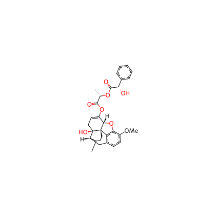 COc1ccc2c3c1O[C@H]1C(OC(=O)[C@H](C)OC(=O)[C@@H](O)c4ccccc4)=CC[C@@]4(O)[C@@H](C2)C(C)CC[C@]314